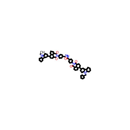 CCn1c2ccccc2c2cc(-c3ccc4c5c(cccc35)C(=O)N(c3ccc(-c5nnc(-c6ccc(N7C(=O)c8cccc9c(-c%10ccc%11c(c%10)c%10ccccc%10n%11Cc%10ccccc%10)ccc(c89)C7=O)cc6)o5)cc3)C4=O)ccc21